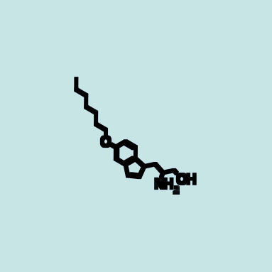 CCCCCCCOc1ccc2c(c1)C=CC2CC(N)CO